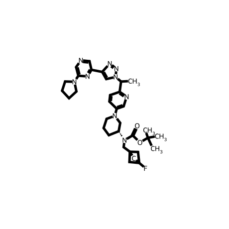 CC(c1ccc(N2CCC[C@@H](N(CC34CC(F)(C3)C4)C(=O)OC(C)(C)C)C2)cn1)n1cc(-c2cncc(N3CCCC3)n2)nn1